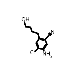 N#Cc1cc(N)c(Cl)cc1CCCCO